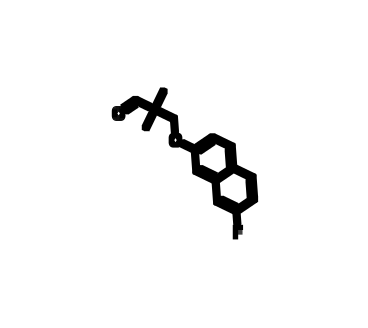 CC(C)(C=O)COc1ccc2ccc(F)cc2c1